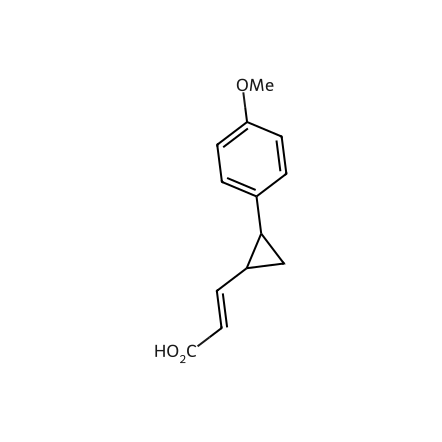 COc1ccc(C2CC2/C=C/C(=O)O)cc1